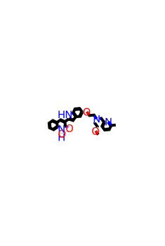 COCCN(CCOc1ccc2[nH]c(C3=Cc4ccccc4[NH+]([O-])C3=O)cc2c1)Cc1cccc(C)n1